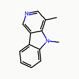 Cc1cncc2c3ccccc3n(C)c12